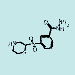 NNC(=O)c1cccc(S(=O)(=O)C2CNCCS2)c1